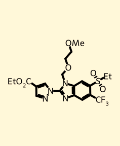 CCOC(=O)c1cnn(-c2nc3cc(C(F)(F)F)c(S(=O)(=O)CC)cc3n2COCCOC)c1